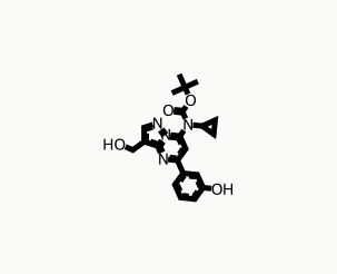 CC(C)(C)OC(=O)N(c1cc(-c2cccc(O)c2)nc2c(CO)cnn12)C1CC1